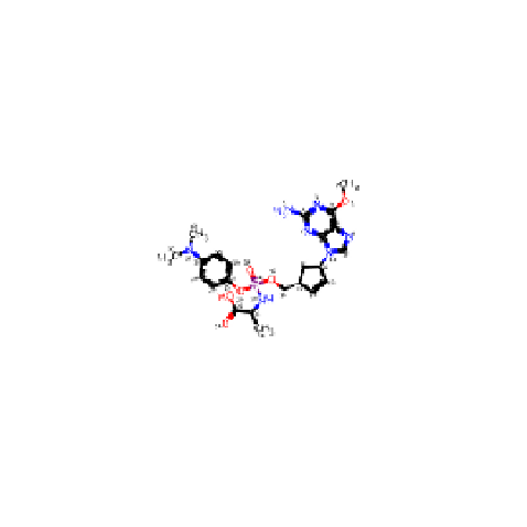 COc1nc(N)nc2c1ncn2[C@H]1C=C[C@@H](COP(=O)(NC(C)C(=O)O)Oc2ccc(N(C)C)cc2)C1